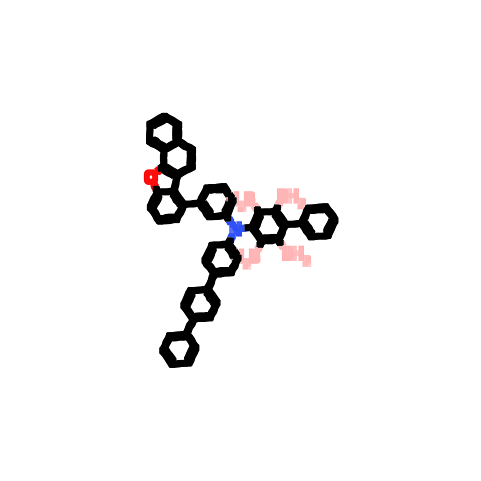 Bc1c(B)c(N(c2ccc(-c3ccc(-c4ccccc4)cc3)cc2)c2cccc(-c3cccc4oc5c6ccccc6ccc5c34)c2)c(B)c(B)c1-c1ccccc1